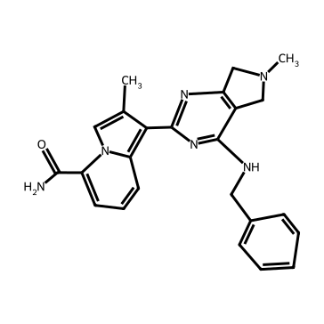 Cc1cn2c(C(N)=O)cccc2c1-c1nc2c(c(NCc3ccccc3)n1)CN(C)C2